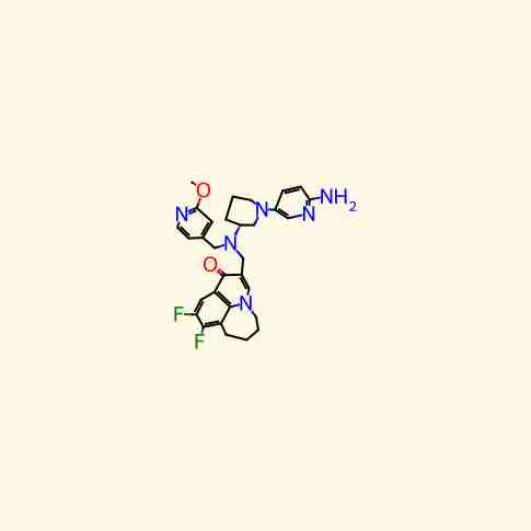 COc1cc(CN(Cc2cn3c4c(c(F)c(F)cc4c2=O)CCCC3)[C@H]2CCCN(c3ccc(N)nc3)C2)ccn1